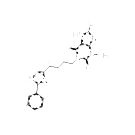 CCCCn1c(=O)n(CCCCc2nc(-c3ccccc3)no2)c(=O)c2[nH]c(C(F)(F)F)nc21